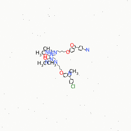 CC(C)NC(=O)C(C(C(=O)N(C)C)N1CCN(CCCCCOc2ccc3c(-c4ccc(Cl)cc4)cn(C)c3c2)CC1)N1CCN(CCCCCOc2ccc3c(-c4ccc(C#N)cc4)coc3c2)CC1